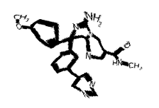 CNC(=O)C1CN=C2N(C1)C(N)=NC2(c1ccc(OC)cc1)c1cccc(-c2cncnc2)c1